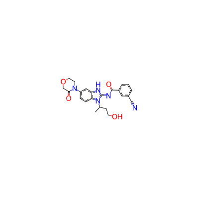 CC(CCO)n1c(=NC(=O)c2cccc(C#N)c2)[nH]c2cc(N3CCOCC3=O)ccc21